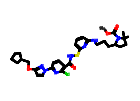 CC(C)(C)OC(=O)N1C(CCCNc2cccc(SNC(=O)c3ccc(-n4ccc(OCC5CCCC5)n4)nc3Cl)n2)CCC1(C)C